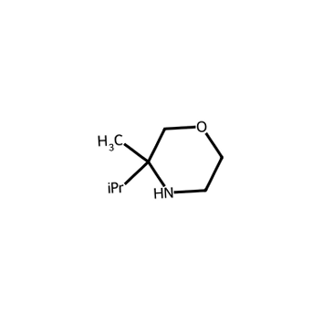 CC(C)C1(C)COCCN1